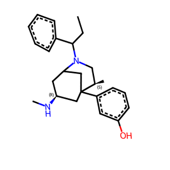 CCC(c1ccccc1)N1C[C@@H](C)C2(c3cccc(O)c3)CC1C[C@H](NC)C2